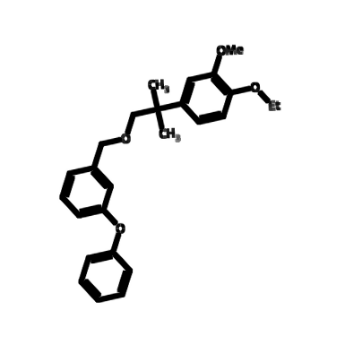 CCOc1ccc(C(C)(C)COCc2cccc(Oc3ccccc3)c2)cc1OC